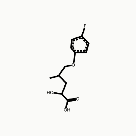 CC(COc1ccc(F)cc1)CC(O)C(=O)O